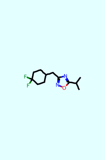 CC(C)c1nc(CC2CCC(F)(F)CC2)no1